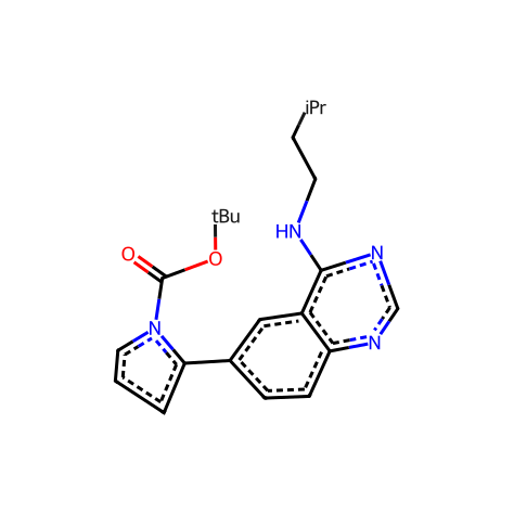 CC(C)CCNc1ncnc2ccc(-c3cccn3C(=O)OC(C)(C)C)cc12